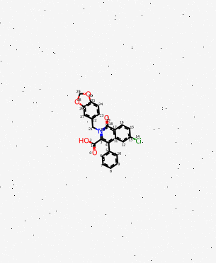 O=C(O)c1c(-c2ccccc2)c2cc(Cl)ccc2c(=O)n1Cc1ccc2c(c1)OCO2